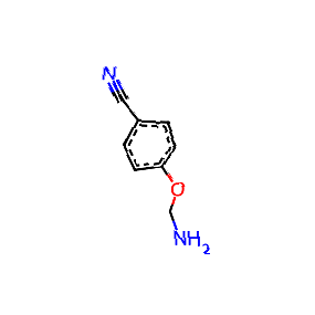 N#Cc1ccc(OCN)cc1